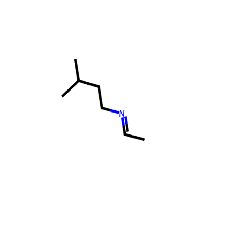 CC=NCCC(C)C